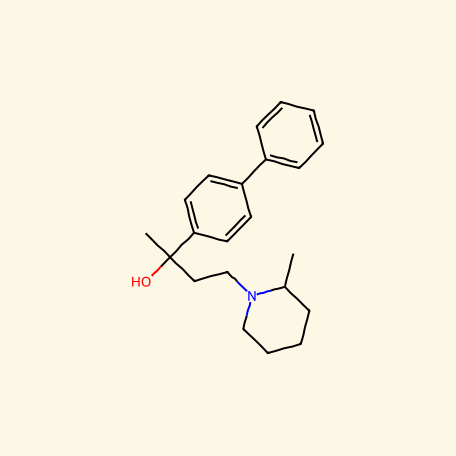 CC1CCCCN1CCC(C)(O)c1ccc(-c2ccccc2)cc1